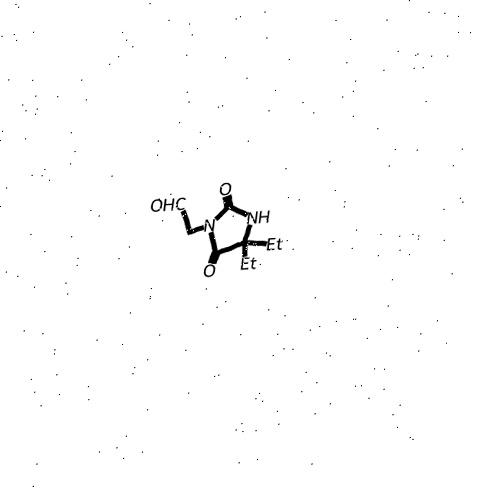 CCC1(CC)NC(=O)N(CC=O)C1=O